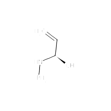 C=C[C@@H](C)NP